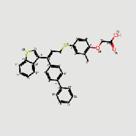 Cc1cc(SC/C=C(\c2ccc(-c3ccccc3)cc2)c2csc3ccccc23)ccc1OCC(=O)O